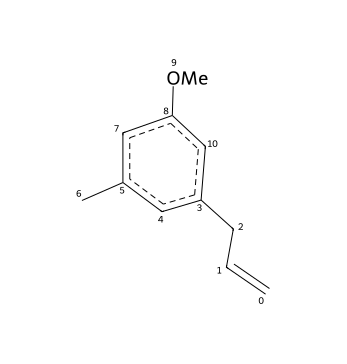 C=CCc1cc(C)cc(OC)c1